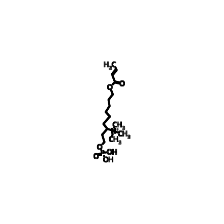 CC=CC(=O)OCCCCCCC(CCOP(=O)(O)O)[N+](C)(C)C